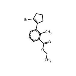 CCOC(=O)c1cccc(C2=C(Br)CCC2)c1C